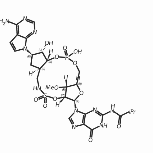 CO[C@H]1[C@H]2OS(=O)(=O)NC[C@H]3C[C@@H](n4ccc5c(N)ncnc54)[C@H](O)[C@@H]3OP(=O)(O)OC[C@H]1O[C@H]2n1cnc2c(=O)[nH]c(NC(=O)C(C)C)nc21